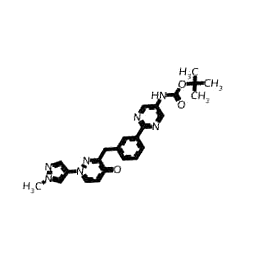 Cn1cc(-n2ccc(=O)c(Cc3cccc(-c4ncc(NC(=O)OC(C)(C)C)cn4)c3)n2)cn1